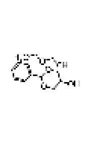 CCOCC.OC1COC(c2ccccc2)OC1